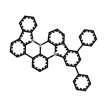 c1ccc(-c2cc(-c3ccccc3)c3c4cccc5c4n(c3c2)-c2cccc3c2B5n2c4ccccc4c4cccc-3c42)cc1